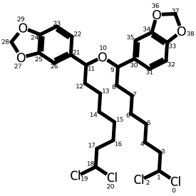 ClC(Cl)CCCCCCC(OC(CCCCCCC(Cl)Cl)c1ccc2c(c1)OCO2)c1ccc2c(c1)OCO2